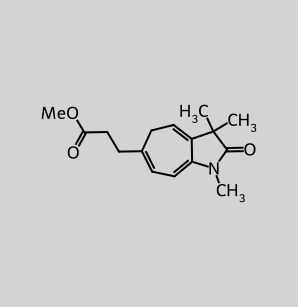 COC(=O)CCC1=CC=C2C(=CC1)C(C)(C)C(=O)N2C